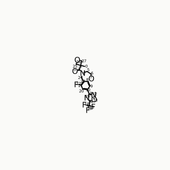 CC1(C(=O)N2CCOc3cc(-c4noc(C(F)(F)F)n4)cc(F)c3C2)COC1